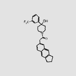 O=C(Cc1ccc2cc3c(cc2c1)CCC3)N1CCC(O)(c2cccc(C(F)(F)F)c2)CC1